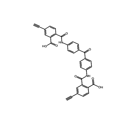 C#Cc1ccc(C(=O)Nc2ccc(C(=O)c3ccc(NC(=O)c4cc(C#C)ccc4C(=O)O)cc3)cc2)c(C(=O)O)c1